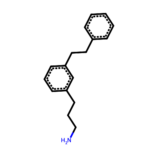 NCCCc1cccc(CCc2ccccc2)c1